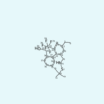 CCc1cc(CNSC(C)(C)C)c(-c2ccccc2CO)c(S(F)(F)(F)(F)F)c1